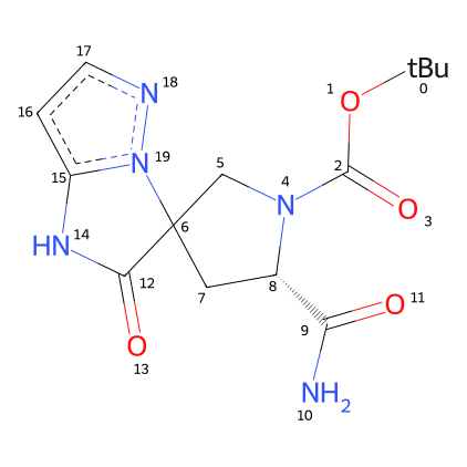 CC(C)(C)OC(=O)N1CC2(C[C@H]1C(N)=O)C(=O)Nc1ccnn12